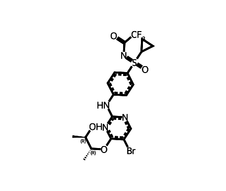 C[C@@H](O)[C@@H](C)Oc1nc(Nc2ccc(S(=O)(=NC(=O)C(F)(F)F)C3CC3)cc2)ncc1Br